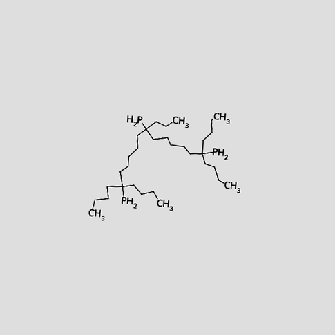 CCCCC(P)(CCCC)CCCCCC(P)(CCC)CCCCCC(P)(CCCC)CCCC